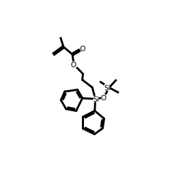 C=C(C)C(=O)OCCC[Si](O[Si](C)(C)C)(c1ccccc1)c1ccccc1